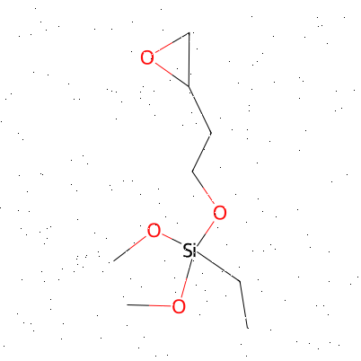 CC[Si](OC)(OC)OCCC1CO1